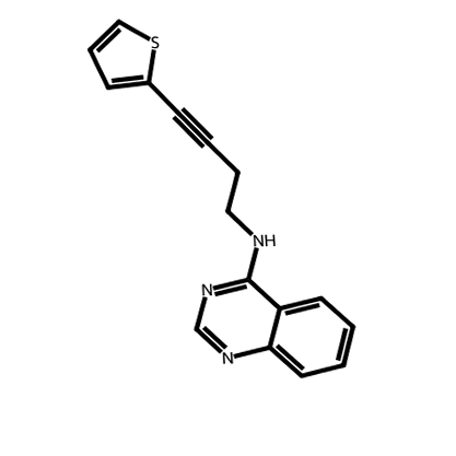 C(#Cc1cccs1)CCNc1ncnc2ccccc12